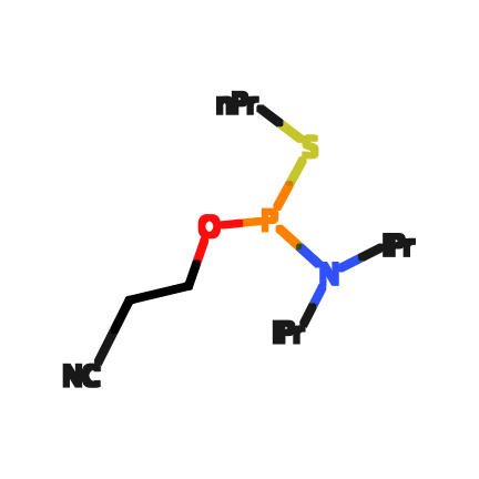 CCCSP(OCCC#N)N(C(C)C)C(C)C